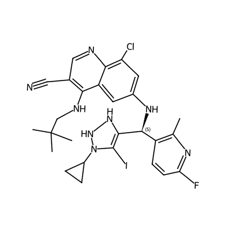 Cc1nc(F)ccc1[C@H](Nc1cc(Cl)c2ncc(C#N)c(NCC(C)(C)C)c2c1)C1=C(I)N(C2CC2)NN1